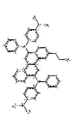 CCCc1ccc2c(N(c3ccccc3)c3ccc(N(C)C)cc3)cc3c4ccccc4c(N(c4ccccc4)c4ccc(N(C)C)cc4)cc3c2c1